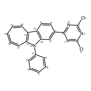 Clc1nc(Cl)nc(-c2ccc3c4c(n(-c5ccccc5)c3c2)C=C=CC=C4)n1